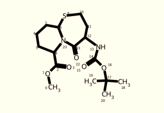 COC(=O)C1CCCC2SCCC(NC(=O)OC(C)(C)C)C(=O)N21